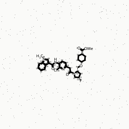 COC(=O)[C@H]1CC[C@H](OC[C@@H]2C[C@H](F)CN2C(=O)Cc2ccc(NC(=O)c3cn(C)c4ccccc34)c(Cl)n2)CC1